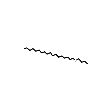 CCCCCCCCCCCCCCCCCCOCCCC